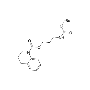 CC(C)(C)OC(=O)NCCCOC(=O)N1CCCc2ccccc21